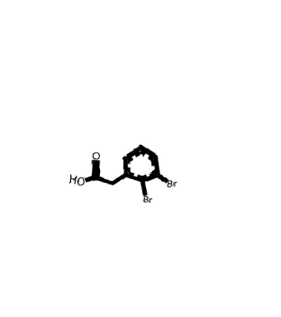 O=C(O)Cc1cccc(Br)c1Br